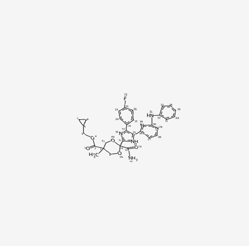 CC1(C(=O)OCC2CC2)COC(C(N)=O)(c2nc(-c3ccc(F)cc3)c(-c3ccnc(Nc4ccccc4)n3)[nH]2)OC1